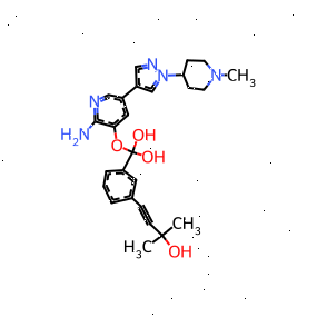 CN1CCC(n2cc(-c3cnc(N)c(OC(O)(O)c4cccc(C#CC(C)(C)O)c4)c3)cn2)CC1